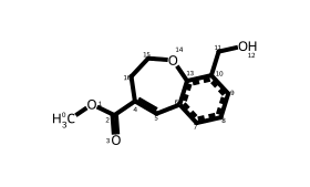 COC(=O)C1=Cc2cccc(CO)c2OCC1